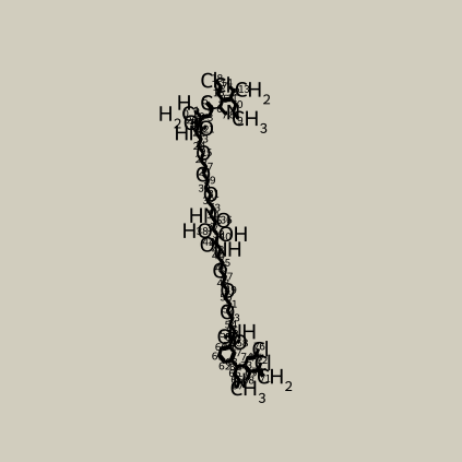 C=C/C(=C\C(=C)[C@@H]1CN(C)CC(C(=C)Cl)=C1/C=C/Cl)S(=O)(=O)NCCOCCOCCOCCNC(=O)C(O)C(O)C(=O)NCCOCCOCCOCCNS(=O)(=O)c1cccc(C2CN(C)CC(C(=C)Cl)=C2/C=C/Cl)c1